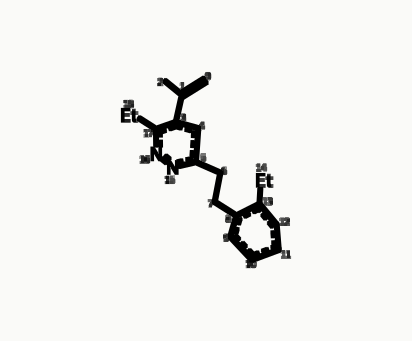 C=C(C)c1cc(CCc2ccccc2CC)nnc1CC